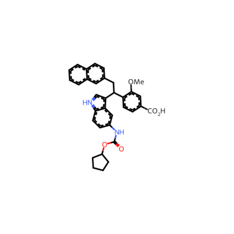 COc1cc(C(=O)O)ccc1C(Cc1ccc2ccccc2c1)c1c[nH]c2ccc(NC(=O)OC3CCCC3)cc12